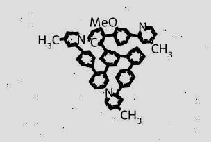 COc1cc(-c2cc(C)ccn2)ccc1-c1ccccc1-c1cc(-c2ccccc2-c2ccc(-c3cc(C)ccn3)cc2)cc(-c2ccccc2-c2ccc(-c3cc(C)ccn3)cc2)c1